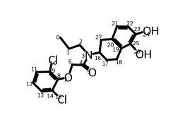 CCCN(C(=O)COc1c(Cl)cccc1Cl)C1CCc2c(ccc(O)c2O)C1